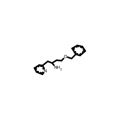 NC(CCOCc1ccccc1)Cc1ccccn1